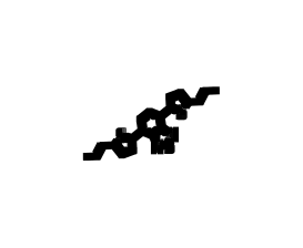 C/C=C/c1ccc(-c2ccc(-c3ccc(/C=C/C)s3)c3nsnc23)s1